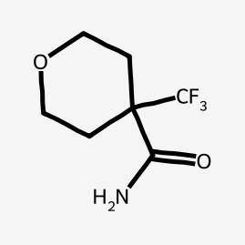 NC(=O)C1(C(F)(F)F)CCOCC1